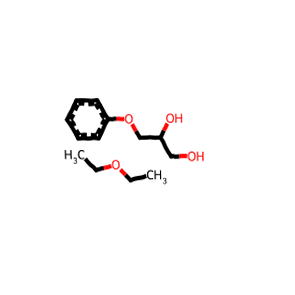 CCOCC.OCC(O)COc1ccccc1